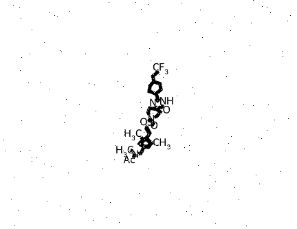 CC(=O)N(C)Cc1cc(C)c(C=CS(=O)(=O)N2CCC3(CC2)N=C(C2CCC(CCC(F)(F)F)CC2)NC3=O)c(C)c1